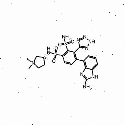 C[N+]1(C)CC[C@@H](NS(=O)(=O)c2ccc(-c3cccc4[nH]c(N)nc34)c(-c3nn[nH]n3)c2S(N)(=O)=O)C1